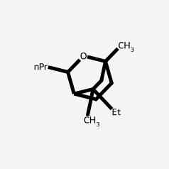 CCCC1OC2(C)CCC1C(C)(CC)C2